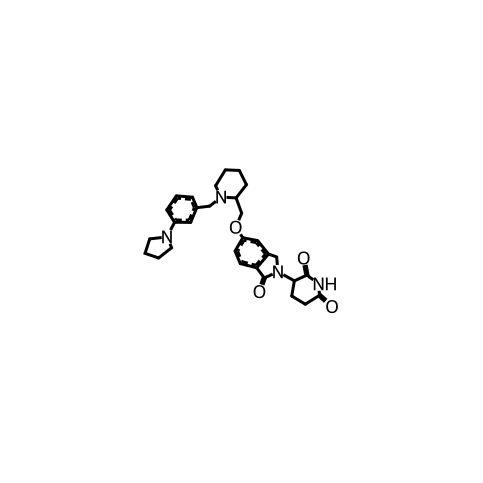 O=C1CCC(N2Cc3cc(OCC4CCCCN4Cc4cccc(N5CCCC5)c4)ccc3C2=O)C(=O)N1